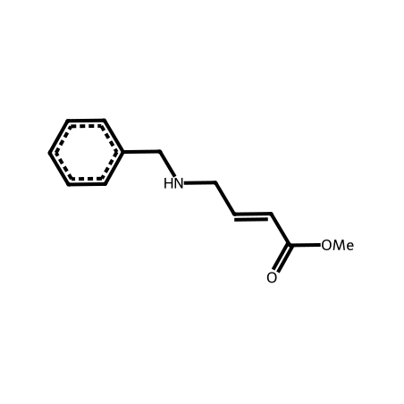 COC(=O)C=CCNCc1ccccc1